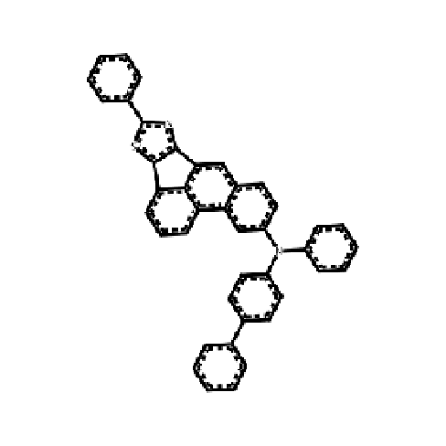 c1ccc(-c2ccc(N(c3ccccc3)c3ccc4cc5c6c(cccc6c4c3)-c3sc(-c4ccccc4)nc3-5)cc2)cc1